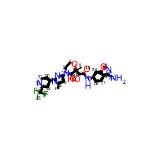 Cc1cc(N2CCO[C@](C)([C@@H](O)C(=O)Nc3ccc4c(N)noc4c3)C2=O)nn1-c1ccnc(C(F)(F)F)c1